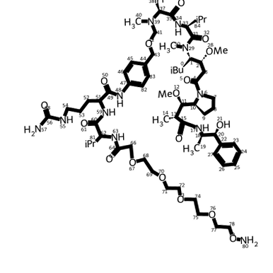 CC[C@H](C)[C@@H]([C@@H](CC(=O)N1CCC[C@H]1[C@H](OC)[C@@H](C)C(=O)N[C@H](C)[C@@H](O)c1ccccc1)OC)N(C)C(=O)[C@@H](NC(=O)[C@H](C(C)C)N(C)COCc1ccc(NC(=O)C(CCCNC(N)=O)NC(=O)C(NC(=O)COCCOCCOCCOCCON)C(C)C)cc1)C(C)C